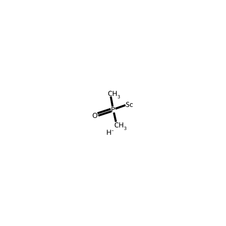 C[P](C)(=O)[Sc].[H-]